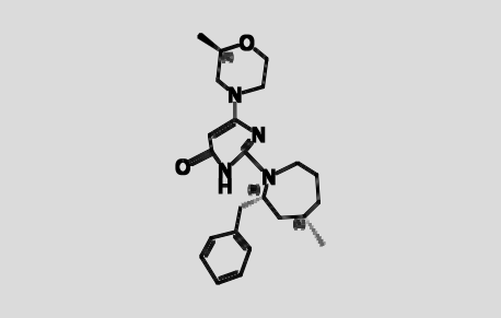 C[C@H]1CCCN(c2nc(N3CCO[C@H](C)C3)cc(=O)[nH]2)[C@@H](Cc2ccccc2)C1